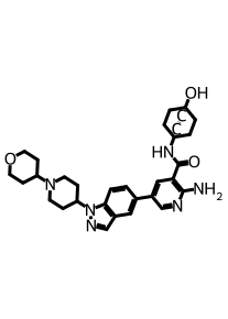 Nc1ncc(-c2ccc3c(cnn3C3CCN(C4CCOCC4)CC3)c2)cc1C(=O)NC12CCC(O)(CC1)CC2